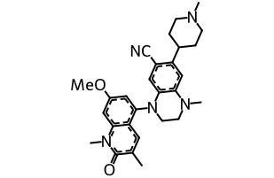 COc1cc(N2CCN(C)c3cc(C4CCN(C)CC4)c(C#N)cc32)c2cc(C)c(=O)n(C)c2c1